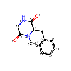 CN1C(=O)CNC(=O)C1Cc1ccccc1